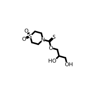 O=S1(=O)CCN(C(=S)OCC(O)CO)CC1